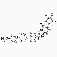 CC1CCC(C2CCC(C3CCC(C(F)(F)Oc4ccc(-c5ccc(F)c(F)c5)c(F)c4)CC3)CC2)CC1